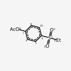 CCS(=O)(=O)c1ccc(OC(C)=O)cc1